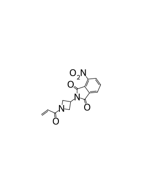 C=CC(=O)N1CC(N2C(=O)c3cccc([N+](=O)[O-])c3C2=O)C1